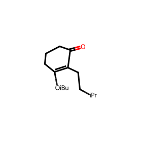 CC(C)CCC1=C(OCC(C)C)CCCC1=O